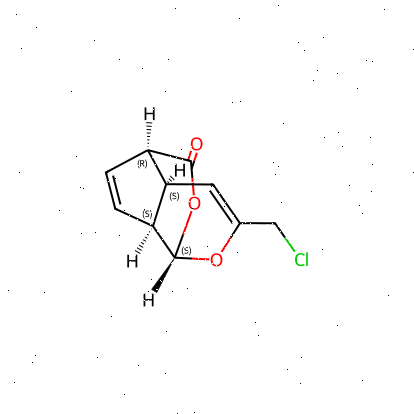 O=C1O[C@@H]2OC(CCl)=C[C@H]3[C@@H]2C=C[C@@H]13